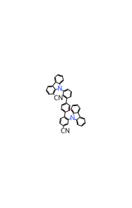 N#Cc1ccc(-c2ccc(-c3cccc(-n4c5ccccc5c5cccc(C#N)c54)c3)cc2)c(-n2c3ccccc3c3ccccc32)c1